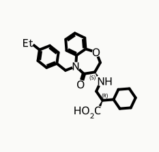 CCc1ccc(CN2C(=O)[C@@H](NC[C@H](C(=O)O)C3CCCCC3)COc3ccccc32)cc1